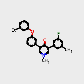 CCc1cccc(Oc2cccc(-c3cn(C)cc(-c4cc(C)cc(F)c4)c3=O)c2)c1